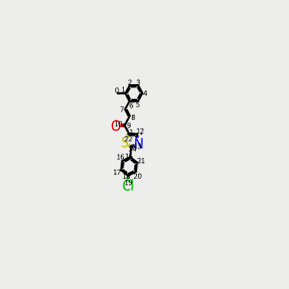 Cc1ccccc1C=CC(=O)c1[c]nc(-c2ccc(Cl)cc2)s1